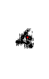 O=C(N[C@@H](CCNc1c(NC2C[C@H]3CC[C@@H]2C3)c(=O)c1=O)C(=O)N[C@@H]1C[C@H]2CC[C@@H]1C2)c1ccc(Nc2nc(NC3(c4ccc(Cl)cc4)CC3)nc(OCC(F)(F)F)n2)cc1